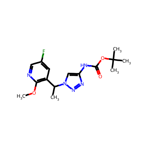 COc1ncc(F)cc1C(C)n1cc(NC(=O)OC(C)(C)C)nn1